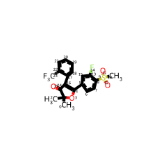 CC1(C)OC(c2ccc(S(C)(=O)=O)c(F)c2)=C(c2ccccc2C(F)(F)F)C1=O